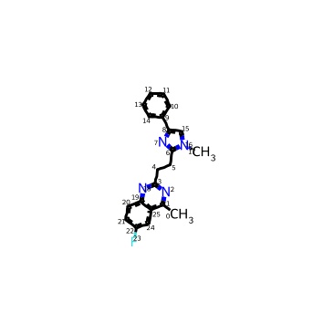 Cc1nc(CCc2nc(-c3ccccc3)cn2C)nc2ccc(F)cc12